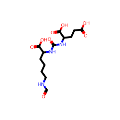 O=CNCCCCC(NC(=O)NC(CCC(=O)O)C(=O)O)C(=O)O